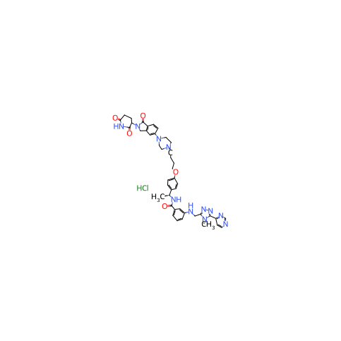 C[C@H](NC(=O)c1cccc(NCc2nnc(-c3ccncn3)n2C)c1)c1ccc(OCCCCN2CCN(c3ccc4c(c3)CN(C3CCC(=O)NC3=O)C4=O)CC2)cc1.Cl